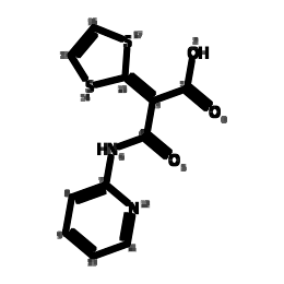 O=C(O)C(C(=O)Nc1ccccn1)=C1SC=CS1